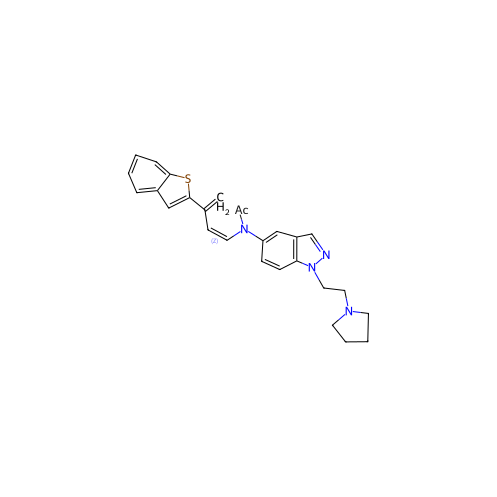 C=C(/C=C\N(C(C)=O)c1ccc2c(cnn2CCN2CCCC2)c1)c1cc2ccccc2s1